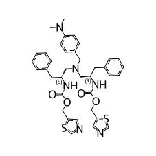 CN(C)c1ccc(CN(C[C@@H](Cc2ccccc2)NC(=O)OCc2cncs2)C[C@H](Cc2ccccc2)NC(=O)OCc2cncs2)cc1